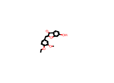 CCOc1ccc(/C=C2\Oc3cc(O)ccc3C2=O)cc1OC